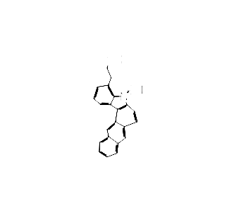 CCCc1cccc2c3c4cc5ccccc5cc4ccc3n(C)c12